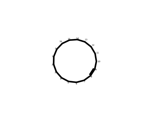 [CH]1CCCCCCCC=CCCCCCCC1